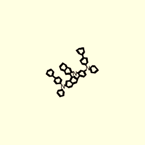 c1ccc(-c2ccc(N(c3ccccc3)c3ccc4cc5c6ccc(N(c7ccccc7)c7ccc(-c8ccccc8)cc7)cc6n6c7cc8ccccc8cc7c(c4c3)c56)cc2)cc1